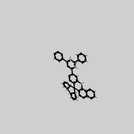 c1ccc(-c2cc(-c3ccc4c(c3)Sc3c(ccc5ccccc35)C43c4ccccc4-c4ccccc43)nc(-c3ccccc3)n2)cc1